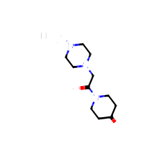 O=C1CCN(C(=O)CN2CCN(C(=O)O)CC2)CC1